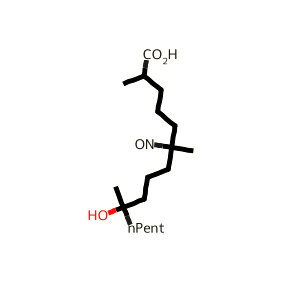 CCCCCC(C)(O)CCCC(C)(CCCC(C)C(=O)O)N=O